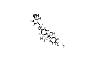 Cc1ccc(C(C)(C)c2ccc(OCC3CCN(C)C3)cc2)cc1